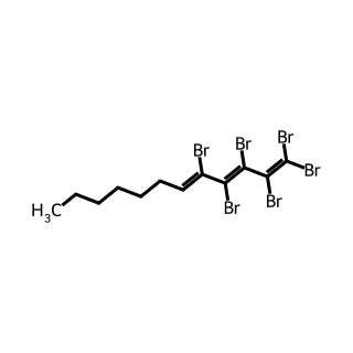 CCCCCCC=C(Br)C(Br)=C(Br)C(Br)=C(Br)Br